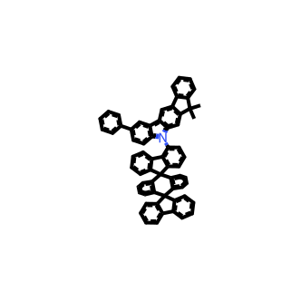 CC1(C)c2ccccc2-c2cc3c4cc(-c5ccccc5)ccc4n(-c4cccc5c4-c4ccccc4C54c5ccccc5C5(c6ccccc6-c6ccccc65)c5ccccc54)c3cc21